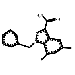 N=C(N)c1nn(Cc2cccnc2)c2c(F)cc(F)cc12